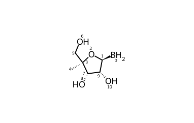 B[C@@H]1O[C@](C)(CO)[C@@H](O)[C@H]1O